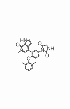 Cc1cccc(C)c1Oc1ccc(N2C(=O)CNC2=O)cc1-c1cn(C)c(=O)c2[nH]ccc12